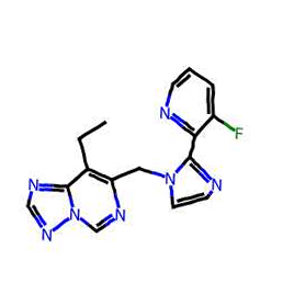 CCc1c(Cn2ccnc2-c2ncccc2F)ncn2ncnc12